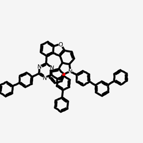 C1=CC2C(c3ccccc3N2c2ccc(-c3cccc(-c4ccccc4)c3)cc2)c2c1oc1cccc(-c3nc(-c4ccc(-c5ccccc5)cc4)nc(-c4cccc(-c5ccccc5)c4)n3)c21